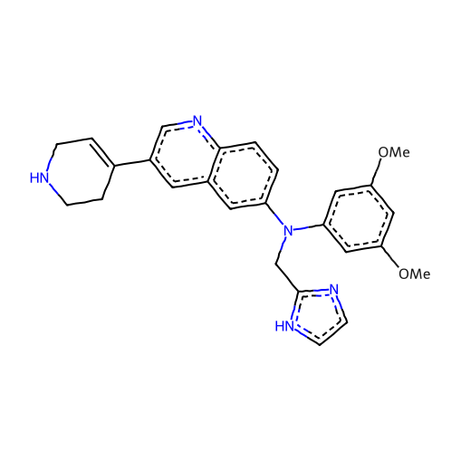 COc1cc(OC)cc(N(Cc2ncc[nH]2)c2ccc3ncc(C4=CCNCC4)cc3c2)c1